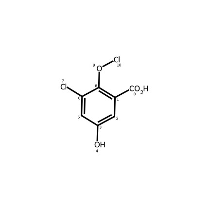 O=C(O)c1cc(O)cc(Cl)c1OCl